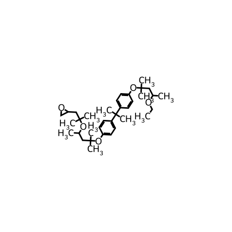 CCOC(C)CC(C)(C)Oc1ccc(C(C)(C)c2ccc(OC(C)(C)CC(C)OC(C)(C)CC3CO3)cc2)cc1